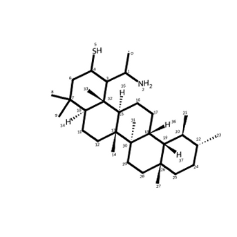 [CH2]C(N)C1C(S)CC(C)(C)[C@@H]2CC[C@]3(C)[C@H](CC[C@@H]4[C@@H]5[C@@H](C)[C@H](C)CC[C@]5(C)CC[C@]43C)[C@@]12C